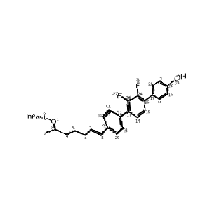 CCCCCOC(C)CCCC=Cc1ccc(-c2ccc(-c3ccc(O)cc3)c(F)c2F)cc1